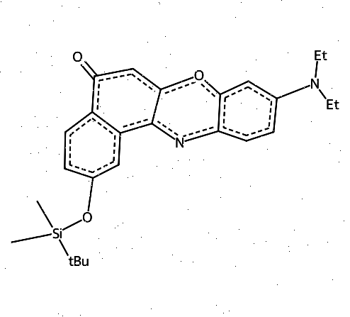 CCN(CC)c1ccc2nc3c4cc(O[Si](C)(C)C(C)(C)C)ccc4c(=O)cc-3oc2c1